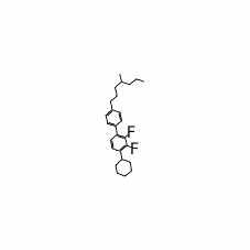 CCCC(C)CCCc1ccc(-c2ccc(C3CCCCC3)c(F)c2F)cc1